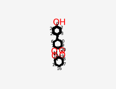 Oc1ccc(C2CCC3(CC2)OOC2(CCCCC2)OO3)cc1